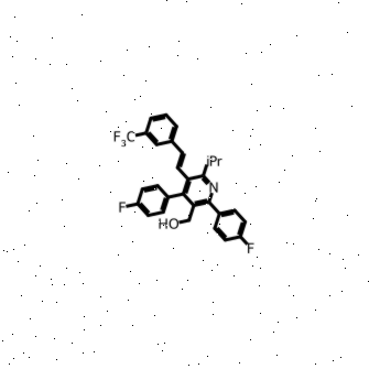 CC(C)c1nc(-c2ccc(F)cc2)c(CO)c(-c2ccc(F)cc2)c1C=Cc1cccc(C(F)(F)F)c1